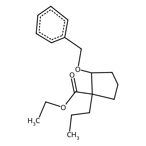 CCCC1(C(=O)OCC)CCCC1OCc1ccccc1